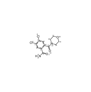 NC(=O)c1cc(Cl)c(Cl)cc1C(=O)N1CCOCC1